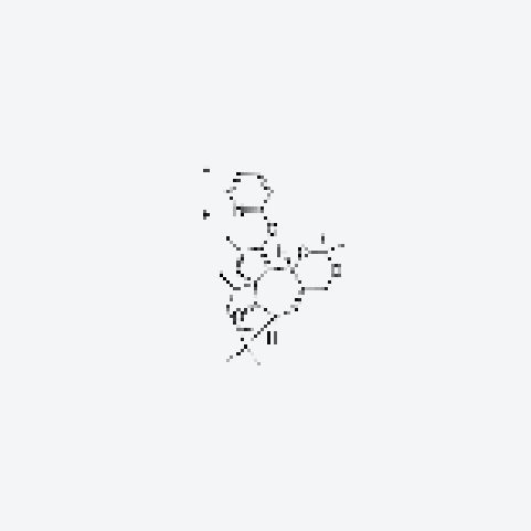 CC1=C[C@]23C(=O)[C@@H](C=C4COC(C)(C)O[C@H]4C2=C1Oc1cccc(C(C)(F)F)n1)C1C(C[C@H]3C)C1(C)C